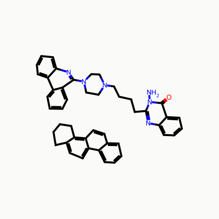 Nn1c(CCCCN2CCN(c3nc4ccccc4c4ccccc34)CC2)nc2ccccc2c1=O.c1ccc2c(c1)ccc1c3c(ccc12)CCCC3